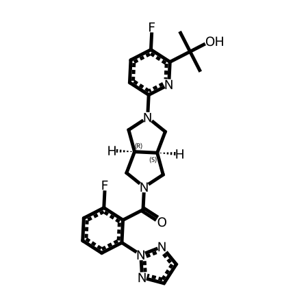 CC(C)(O)c1nc(N2C[C@H]3CN(C(=O)c4c(F)cccc4-n4nccn4)C[C@H]3C2)ccc1F